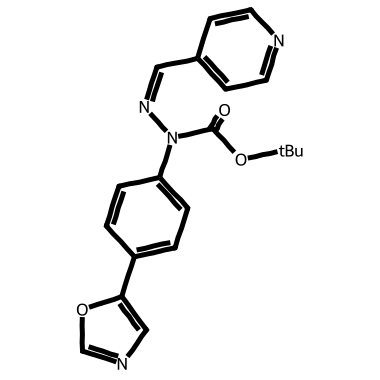 CC(C)(C)OC(=O)N(/N=C\c1ccncc1)c1ccc(-c2cnco2)cc1